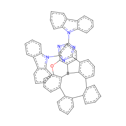 c1ccc2c(c1)Oc1cccc3c1B2c1c(-c2nc(-n4c5ccccc5c5ccccc54)nc(-n4c5ccccc5c5ccccc54)n2)cccc1-c1ccccc1-c1ccccc1-3